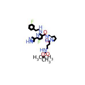 CC(C)(C)OC(=O)NCCCC(=O)N1CCC[C@@H]1CNC(=O)c1cc(F)c(-c2cn[nH]c2)nc1NCCc1cccc(F)c1